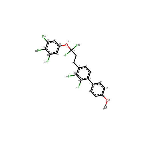 CCOc1ccc(-c2ccc(CCC(F)(F)Oc3cc(F)c(F)c(F)c3)c(F)c2F)cc1